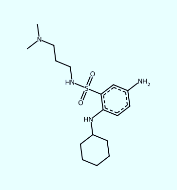 CN(C)CCCNS(=O)(=O)c1cc(N)ccc1NC1CCCCC1